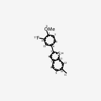 COc1ccc(-c2[c]c3ccc(C)cc3s2)cc1F